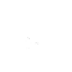 CCCCCCCCCCCCCCCCCCN(C(N)=O)c1cccc(O)c1